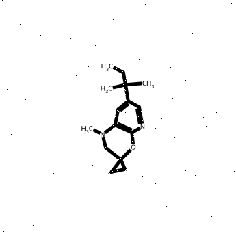 CCC(C)(C)c1cnc2c(c1)N(C)CC1(CC1)O2